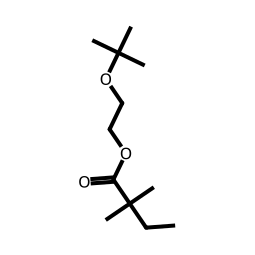 CCC(C)(C)C(=O)OCCOC(C)(C)C